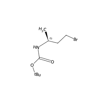 C[C@@H](CCBr)NC(=O)OC(C)(C)C